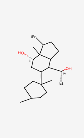 CC[C@@H](O)C1C(C2(C)CCC(C)CC2)C[C@H](O)C2(C)C(C(C)C)CCC12